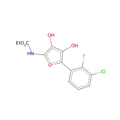 CCOC(=O)Nc1oc(-c2cccc(Cl)c2F)c(O)c1O